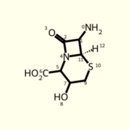 NC1C(=O)N2C(C(=O)O)C(O)CS[C@H]12